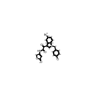 O=C1C=C(NC(=O)C(=O)c2cn(Cc3ccc(Cl)cc3)c3ccc(Br)cc23)CO1